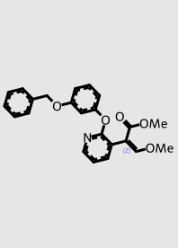 CO/C=C(\C(=O)OC)c1cccnc1Oc1cccc(OCc2ccccc2)c1